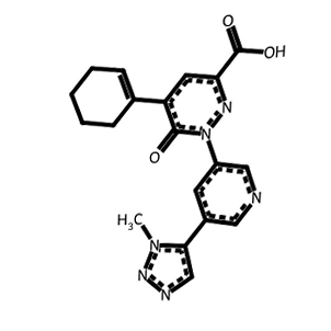 Cn1nncc1-c1cncc(-n2nc(C(=O)O)cc(C3=CCCCC3)c2=O)c1